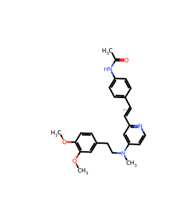 COc1ccc(CCN(C)c2ccnc(/C=C/c3ccc(NC(C)=O)cc3)c2)cc1OC